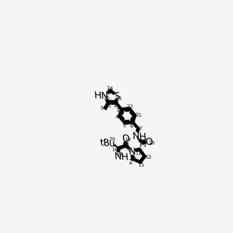 CC1=C(c2ccc(CNC(=O)[C@@H]3CCCN3C(=O)[C@@H](N)C(C)(C)C)cc2)SCN1